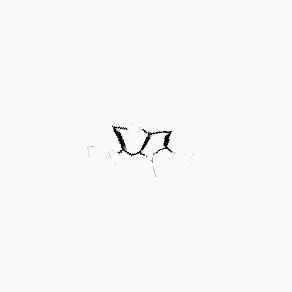 Cc1cc2scc(C(F)(F)F)c2[nH]1